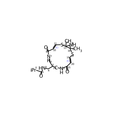 CC(C)C(=O)NCC1CNC(=O)/C=C/SC2(C)NC2(C)S/C=C/C(=O)NC1